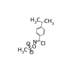 CC(C)c1ccc(C(Cl)=NOS(C)(=O)=O)cc1